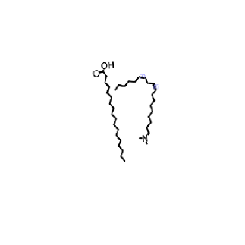 CCCCC/C=C\C/C=C\CCCCCCCCN(C)C.CCCCCCCCCCCCCCCCCC(=O)O